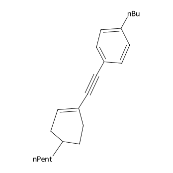 CCCCCC1CC=C(C#Cc2ccc(CCCC)cc2)CC1